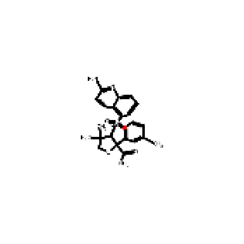 COc1ccc(C)cc1C1(C(N)=O)OCC(C)(C)C1S(=O)(=O)c1cccc2nc(N)ccc12